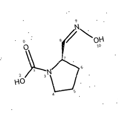 O=C(O)N1CCC[C@@H]1/C=N\O